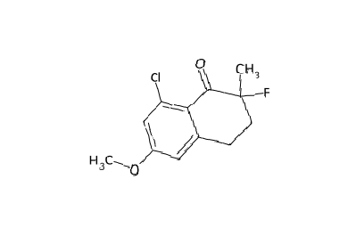 COc1cc(Cl)c2c(c1)CCC(C)(F)C2=O